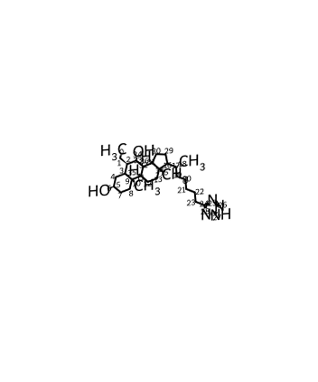 CC[C@@H]1C2C[C@H](O)CCC2(C)[C@H]2CCC3(C)C([C@H](C)CCCCCc4nn[nH]n4)CC[C@H]3C2[C@@H]1O